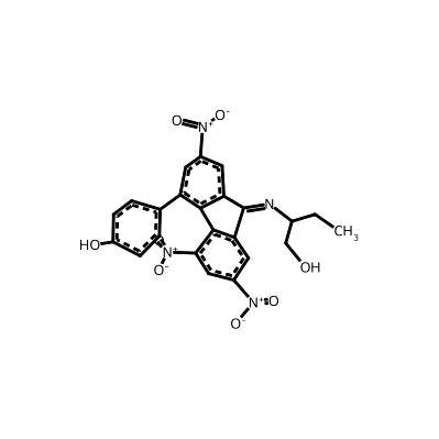 CCC(CO)N=C1c2cc([N+](=O)[O-])cc(-c3ccc(O)cc3)c2-c2c1cc([N+](=O)[O-])cc2[N+](=O)[O-]